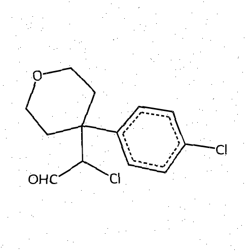 O=CC(Cl)C1(c2ccc(Cl)cc2)CCOCC1